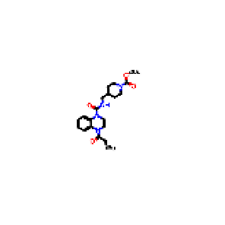 CC(C)(C)CC(=O)N1CCN(C(=O)NCC2CCN(C(=O)OC(C)(C)C)CC2)c2ccccc21